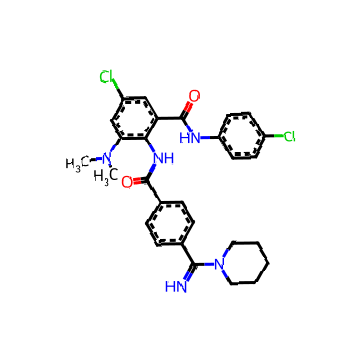 CN(C)c1cc(Cl)cc(C(=O)Nc2ccc(Cl)cc2)c1NC(=O)c1ccc(C(=N)N2CCCCC2)cc1